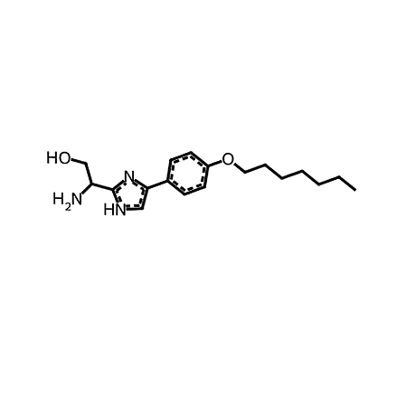 CCCCCCCOc1ccc(-c2c[nH]c(C(N)CO)n2)cc1